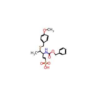 COc1ccc(CSC(C)C(C=CS(=O)(=O)O)NC(=O)OCc2ccccc2)cc1